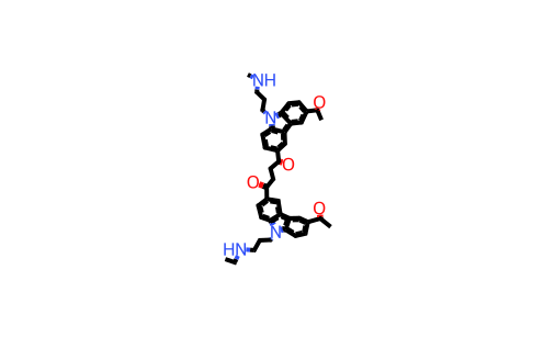 CCNCCCn1c2ccc(C(C)=O)cc2c2cc(C(=O)CCC(=O)c3ccc4c(c3)c3cc(C(C)=O)ccc3n4CCCNC)ccc21